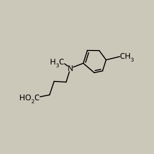 CC1C=CC(N(C)CCCC(=O)O)=CC1